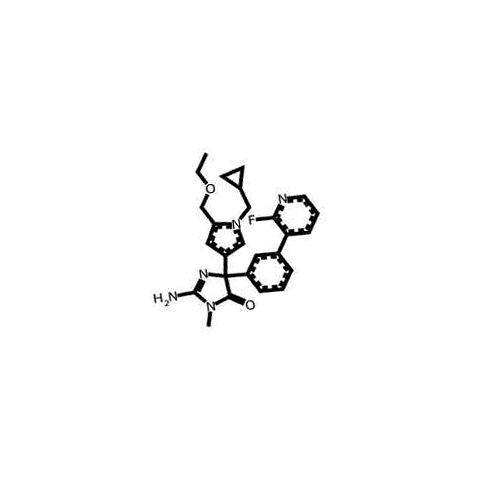 CCOCc1cc(C2(c3cccc(-c4cccnc4F)c3)N=C(N)N(C)C2=O)cn1CC1CC1